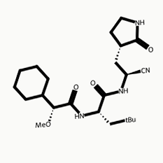 CO[C@@H](C(=O)N[C@@H](CC(C)(C)C)C(=O)N[C@H](C#N)C[C@@H]1CCNC1=O)C1CCCCC1